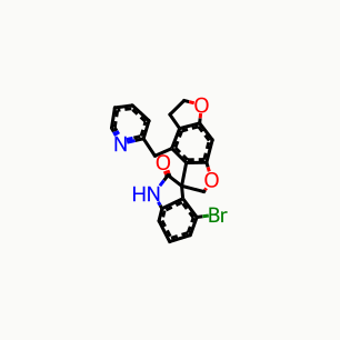 O=C1Nc2cccc(Br)c2C12COc1cc3c(c(Cc4ccccn4)c12)CCO3